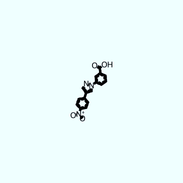 O=C(O)c1cccc(-n2cc(-c3ccc([N+](=O)[O-])cc3)cn2)c1